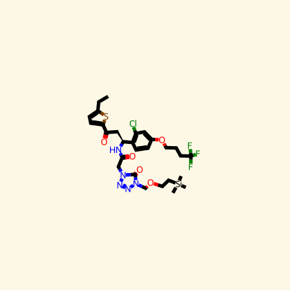 CCc1ccc(C(=O)C[C@H](NC(=O)Cn2nnn(COCC[Si](C)(C)C)c2=O)c2ccc(OCCCC(F)(F)F)cc2Cl)s1